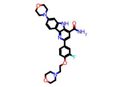 NC(=O)c1cc(-c2ccc(OCCN3CCOCC3)c(F)c2)nc2c1[nH]c1cc(N3CCOCC3)ccc12